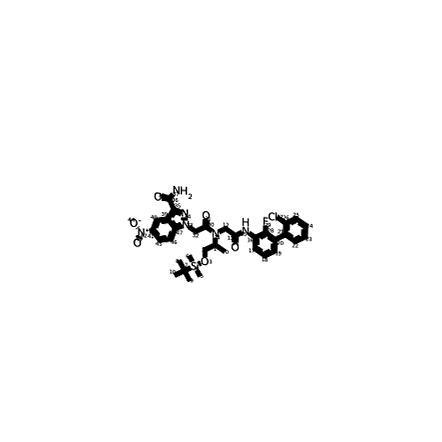 CC(CO[Si](C)(C)C(C)(C)C)N(CC(=O)Nc1cccc(-c2ccccc2Cl)c1F)C(=O)Cn1nc(C(N)=O)c2cc([N+](=O)[O-])ccc21